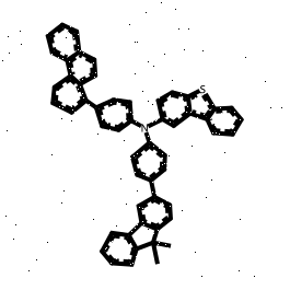 CC1(C)c2ccccc2-c2cc(-c3ccc(N(c4ccc(-c5cccc6c5ccc5ccccc56)cc4)c4ccc5sc6ccccc6c5c4)cc3)ccc21